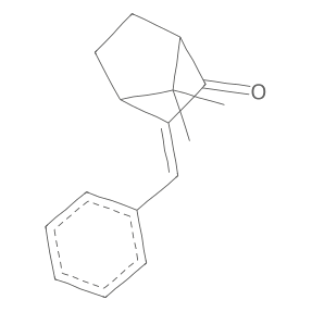 CC1(C)C2CCC1/C(=C\c1ccccc1)C2=O